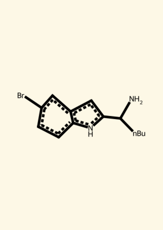 CCCCC(N)c1cc2cc(Br)ccc2[nH]1